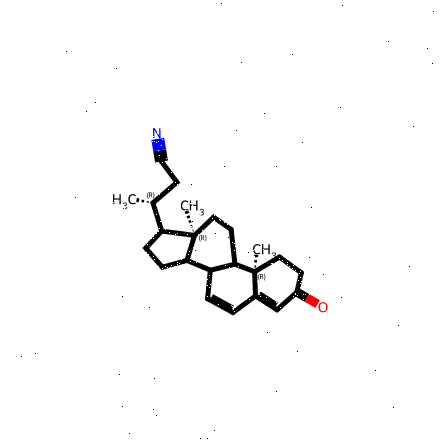 C[C@H](CC#N)C1CCC2C3C=CC4=CC(=O)CC[C@]4(C)C3CC[C@@]21C